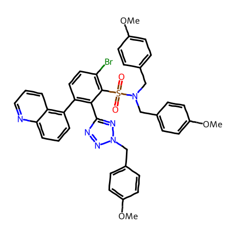 COc1ccc(CN(Cc2ccc(OC)cc2)S(=O)(=O)c2c(Br)ccc(-c3cccc4ncccc34)c2-c2nnn(Cc3ccc(OC)cc3)n2)cc1